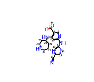 COC(=O)c1cnc(Nc2cnc(C#N)cn2)cc1NC1CCCNCC1